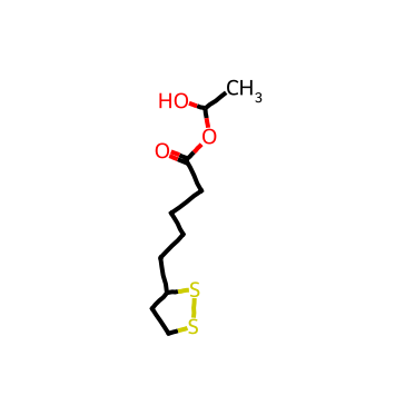 CC(O)OC(=O)CCCCC1CCSS1